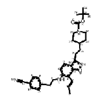 CC=Cc1c(NCCc2ccc(C#N)cc2)ccc2c(CCC3CCN(C(=O)OC(C)(C)C)CC3)noc12